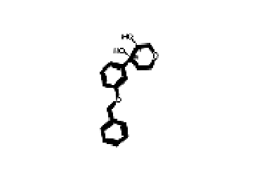 O[C@@H]1COCC[C@@]1(O)c1cccc(OCc2ccccc2)c1